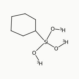 [3H]O[Si](O[3H])(O[3H])C1CCCCC1